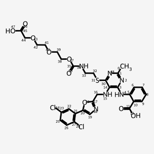 Cc1nc(Nc2ccccc2C(=O)O)c(NCc2ncc(-c3cc(Cl)ccc3Cl)o2)c(SCCNC(=O)OCCOCCOCC(=O)O)n1